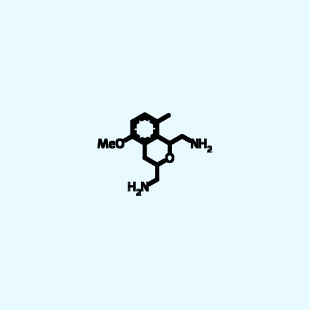 COc1ccc(C)c2c1CC(CN)OC2CN